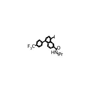 CC(C)NC(=O)c1ccc2c(-c3ccc(C(F)(F)F)cc3)ccc(I)c2c1